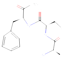 COC(=O)[C@H](Cc1ccccc1)NC(=O)[C@@H](CC(=O)O)NC(=O)[C@@H](C)N